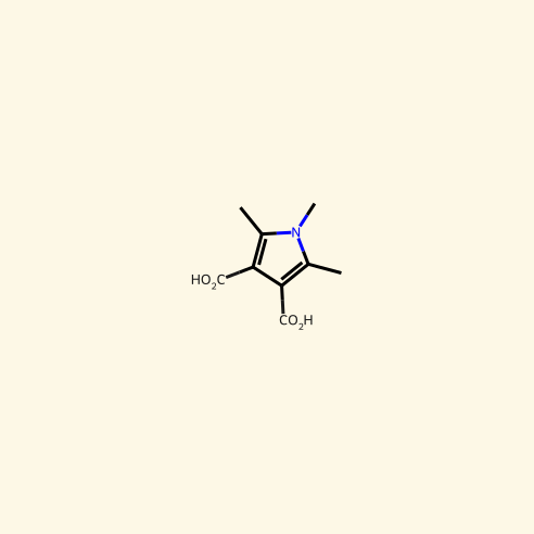 Cc1c(C(=O)O)c(C(=O)O)c(C)n1C